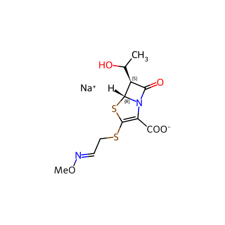 CON=CCSC1=C(C(=O)[O-])N2C(=O)[C@H](C(C)O)[C@H]2S1.[Na+]